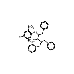 O=C(O)C(C(Cc1ccccc1)Oc1ccc(F)cc1[N+](=O)[O-])N(Cc1ccccc1)Cc1ccccc1